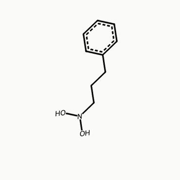 ON(O)CCCc1ccccc1